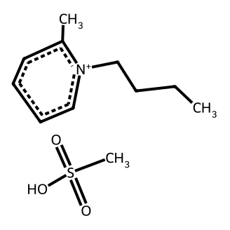 CCCC[n+]1ccccc1C.CS(=O)(=O)O